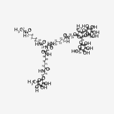 CCNC(=O)CCCCCCNC(=O)CN(CC(=O)NCCCCCC(=O)NCCO[C@H]1O[C@H](CO[C@H]2O[C@H](CO)[C@@H](O)[C@H](O)[C@@H]2O)[C@@H](O)[C@H](O[C@H]2O[C@H](CO)[C@@H](O)[C@H](O)[C@@H]2O)[C@@H]1C)CC(=O)NCCCCCC(=O)NCCO[C@@H]1O[C@@H](C)[C@@H](O)[C@@H](O)[C@@H]1O